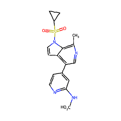 Cc1ncc(-c2ccnc(NC(=O)O)c2)c2ccn(S(=O)(=O)C3CC3)c12